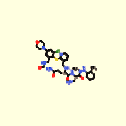 Cc1ccccc1NN(C)C(=O)[C@H](CN)NC(=O)[C@H](CCC(N)=O)NCc1cccnc1Sc1c(Cl)cc(N2CCOCC2)cc1CNC=O